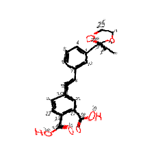 CCC1(c2cccc(/C=C/c3ccc(C(=O)O)c(C(=O)O)c3)c2)OCCO1